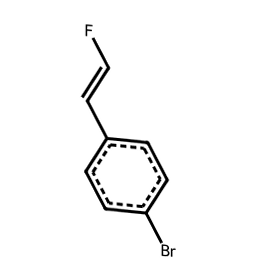 F/C=C/c1ccc(Br)cc1